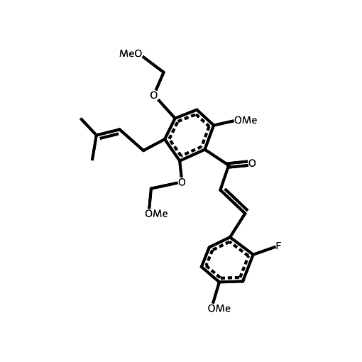 COCOc1cc(OC)c(C(=O)C=Cc2ccc(OC)cc2F)c(OCOC)c1CC=C(C)C